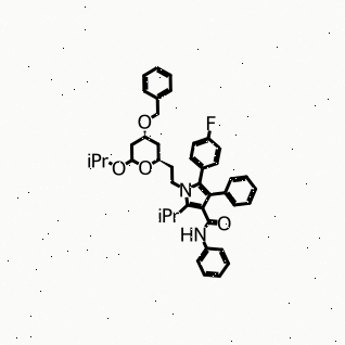 CC(C)OC1C[C@H](OCc2ccccc2)C[C@@H](CCn2c(-c3ccc(F)cc3)c(-c3ccccc3)c(C(=O)Nc3ccccc3)c2C(C)C)O1